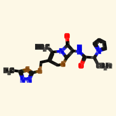 CCOC(=O)C(C(=O)NC1C(=O)N2C(C(=O)O)=C(CSc3nnc(C)s3)CSC12)n1cccc1